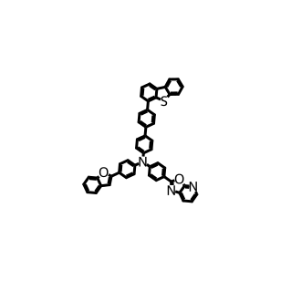 c1ccc2oc(-c3ccc(N(c4ccc(-c5ccc(-c6cccc7c6sc6ccccc67)cc5)cc4)c4ccc(-c5nc6cccnc6o5)cc4)cc3)cc2c1